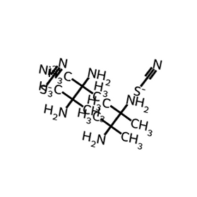 CC(C)(N)C(C)(C)N.CC(C)(N)C(C)(C)N.N#C[S-].N#C[S-].[Ni+2]